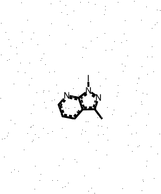 Cc1nn(I)c2ncccc12